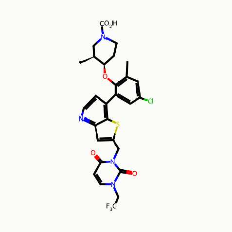 Cc1cc(Cl)cc(-c2ccnc3cc(Cn4c(=O)ccn(CC(F)(F)F)c4=O)sc23)c1O[C@@H]1CCN(C(=O)O)C[C@@H]1C